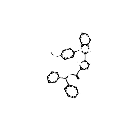 COc1ccc(-n2c(-c3ccc(C(=O)NC(c4ccccc4)c4ccccc4)s3)nc3ccccc32)cc1